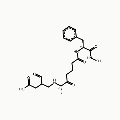 C[C@H](NCC(C=O)CC(=O)O)C(=O)CCCC(=O)N[C@@H](Cc1ccccc1)C(=O)NS